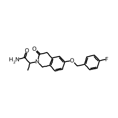 CC(C(N)=O)N1Cc2ccc(OCc3ccc(F)cc3)cc2CC1=O